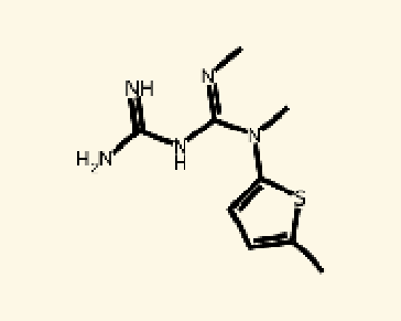 C/N=C(/NC(=N)N)N(C)c1ccc(C)s1